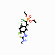 CCOP(=O)(OCC)/C(Cl)=C/c1cc(NC(=S)NC)c(F)cc1Cl